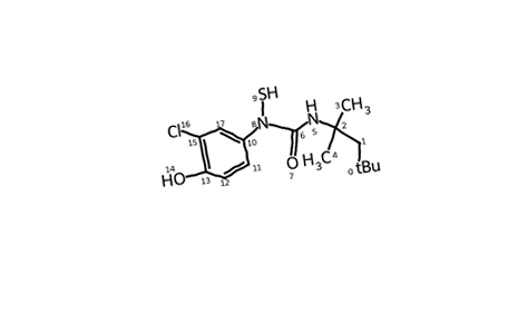 CC(C)(C)CC(C)(C)NC(=O)N(S)c1ccc(O)c(Cl)c1